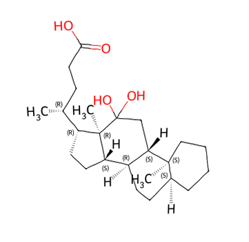 C[C@H](CCC(=O)O)[C@H]1CC[C@H]2[C@@H]3CC[C@@H]4CCCC[C@]4(C)[C@H]3CC(O)(O)[C@]12C